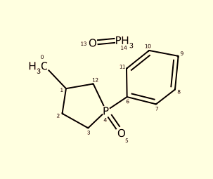 CC1CCP(=O)(c2ccccc2)C1.O=[PH3]